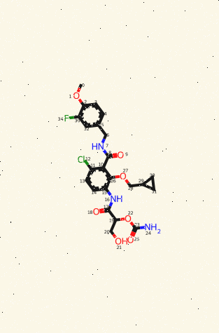 COc1ccc(CNC(=O)c2c(Cl)ccc(NC(=O)C(CO)OC(N)=O)c2OCC2CC2)cc1F